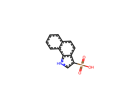 O=S(=O)(O)c1c[nH]c2c1ccc1ccccc12